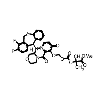 COC(=O)C(C)(C)OC(=O)OCOc1c2n(ccc1=O)N([C@@H]1c3ccccc3SCc3c1ccc(F)c3F)[C@@H]1COCCN1C2=O